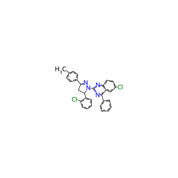 Cc1ccc(C2=NN(c3nc(-c4ccccc4)c4cc(Cl)ccc4n3)C(c3ccccc3Cl)C2)cc1